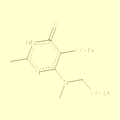 CCOC(=O)CN(C)c1nc(C)[nH]c(=O)c1C(=O)OCC